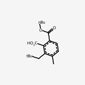 CCCCOC(=O)c1ccc(C)c(CC(C)(C)C)c1C(=O)O